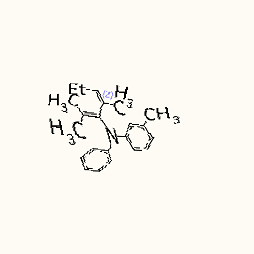 CC/C=C(/C)C(=C(C)C)N(c1ccccc1)c1cccc(C)c1